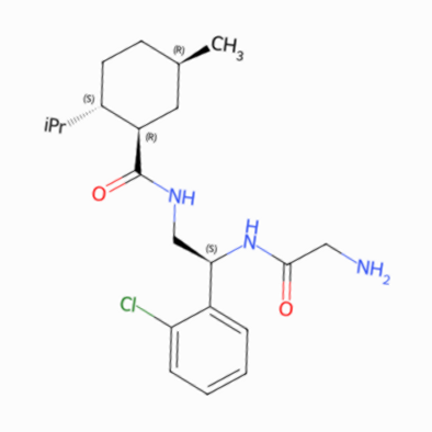 CC(C)[C@@H]1CC[C@@H](C)C[C@H]1C(=O)NC[C@@H](NC(=O)CN)c1ccccc1Cl